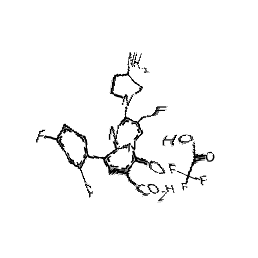 NC1CCN(c2nc3c(-c4ccc(F)cc4F)cc(C(=O)O)c(=O)n3cc2F)C1.O=C(O)C(F)(F)F